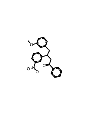 COc1cccc(SC(CC(=O)c2ccccc2)c2cccc([N+](=O)[O-])c2)c1